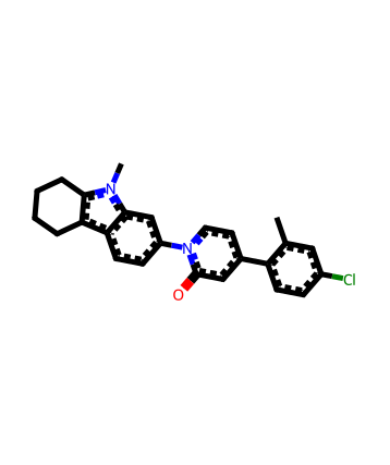 Cc1cc(Cl)ccc1-c1ccn(-c2ccc3c4c(n(C)c3c2)CCCC4)c(=O)c1